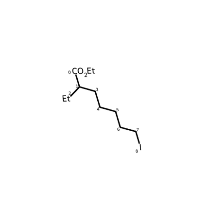 CCOC(=O)C(CC)CCCCCI